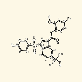 COc1cc(F)ccc1CC(=O)c1cn(S(=O)(=O)c2ccc(C)cc2)c2ccc(C(F)(F)F)cc12